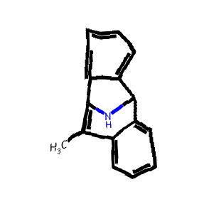 CC1=C2NC(c3ccccc31)c1ccccc12